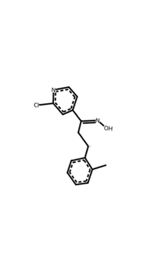 Cc1ccccc1[CH]CC(=NO)c1ccnc(Cl)c1